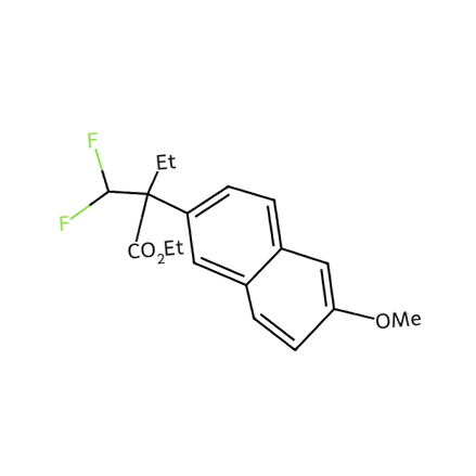 CCOC(=O)C(CC)(c1ccc2cc(OC)ccc2c1)C(F)F